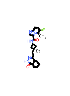 CC[C@]1(CCc2n[nH]c(=O)c3ccccc23)C[C@H](NC(=O)c2cnc3ccc(F)c(C)n23)C1